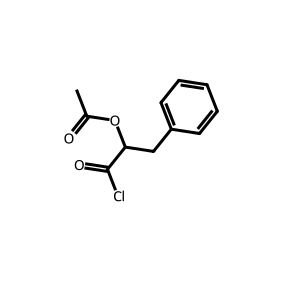 CC(=O)OC(Cc1ccccc1)C(=O)Cl